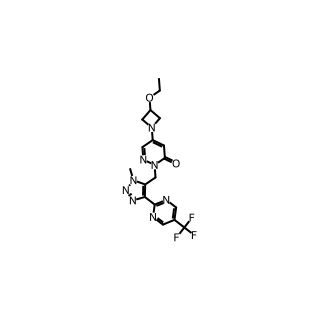 CCOC1CN(c2cnn(Cc3c(-c4ncc(C(F)(F)F)cn4)nnn3C)c(=O)c2)C1